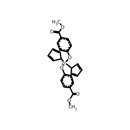 COC(=O)c1ccc([O][Zr]([O]c2ccc(C(=O)OC)cc2)([CH]2C=CC=C2)[CH]2C=CC=C2)cc1